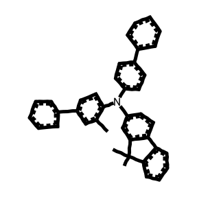 Cc1cc(-c2ccccc2)ccc1N(c1ccc(-c2ccccc2)cc1)c1ccc2c(c1)C(C)(C)c1ccccc1-2